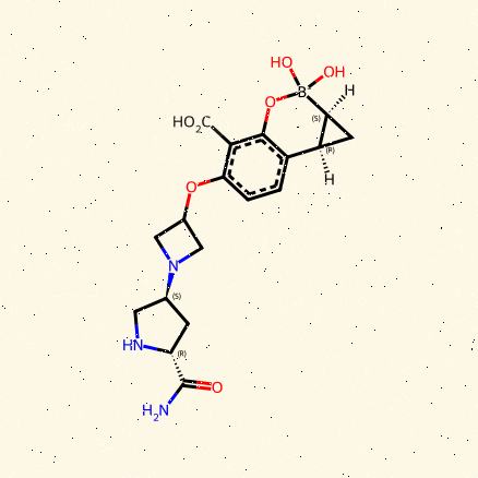 NC(=O)[C@H]1C[C@H](N2CC(Oc3ccc4c(c3C(=O)O)O[B-](O)(O)[C@H]3C[C@@H]43)C2)CN1